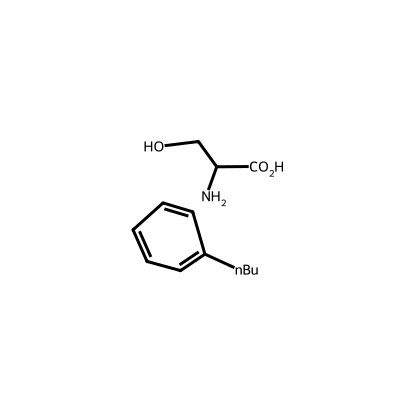 CCCCc1ccccc1.NC(CO)C(=O)O